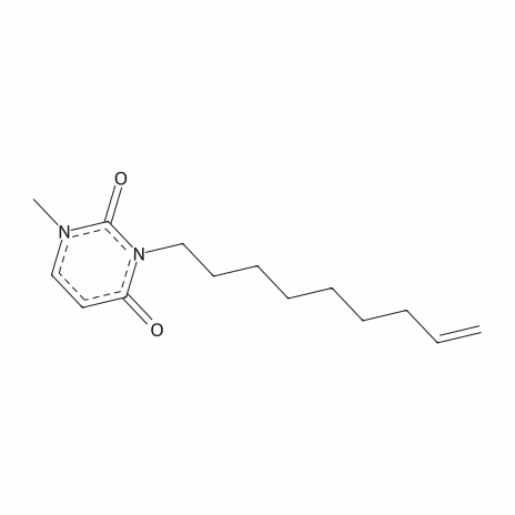 C=CCCCCCCCn1c(=O)ccn(C)c1=O